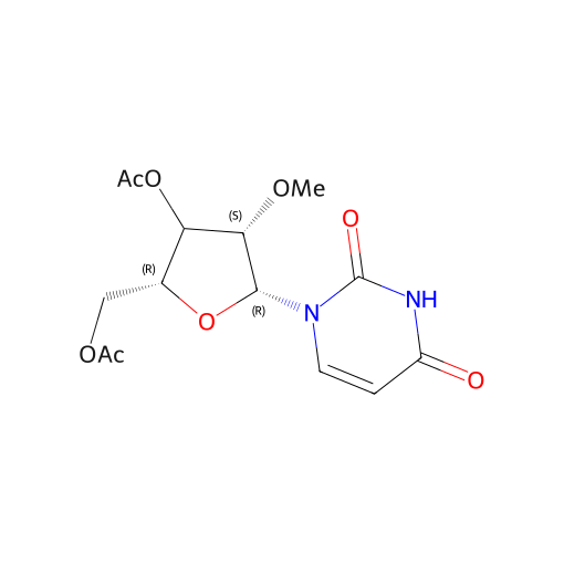 CO[C@H]1C(OC(C)=O)[C@@H](COC(C)=O)O[C@H]1n1ccc(=O)[nH]c1=O